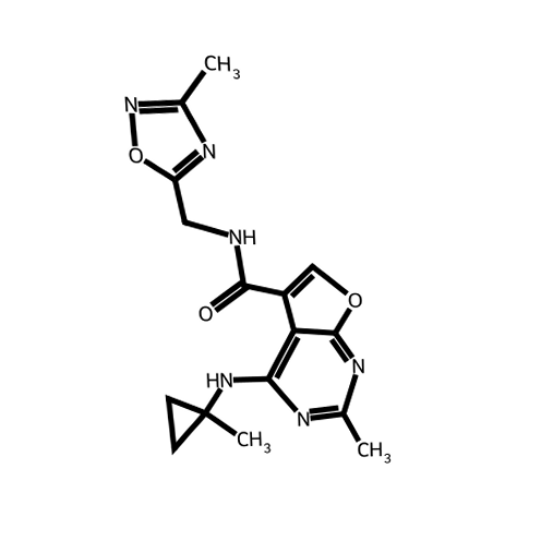 Cc1noc(CNC(=O)c2coc3nc(C)nc(NC4(C)CC4)c23)n1